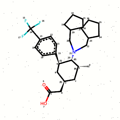 C[C@@H]1C[C@@H](CC(=O)O)C[C@@H](c2ccc(C(F)(F)F)cc2)[C@@H]1N(CC1CCCC1)CC1CCCC1